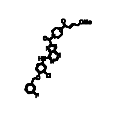 COCC=CC(=O)N1CCN(C(=O)c2nc3c(Nc4ccc(OCc5cccc(F)c5)c(Cl)c4)ncnc3s2)CC1